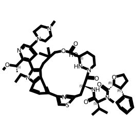 CCn1c(-c2cc(N3CCN(C)CC3)cnc2[C@H](C)OC)c2c3cc(ccc31)-c1csc(n1)C[C@H](NC(=O)[C@H](C(C)C)N(C)C(=O)[C@@H]1OCC[C@@H]1c1ccccc1)C(=O)N1CCC[C@@](O)(N1)C(=O)OCC(C)(C)C2